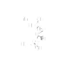 C=CC(=O)N(C)C[C@H]1CC[C@@]2(C)[C@@H](CC[C@@H]3[C@@H]2CC[C@]2(C)C([C@H](C)CCCC(C)C)CC[C@@H]32)C1